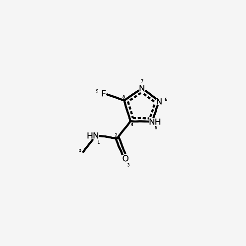 CNC(=O)c1[nH]nnc1F